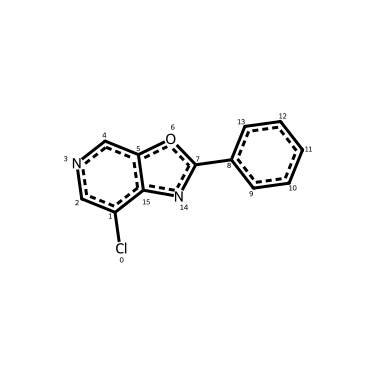 Clc1cncc2oc(-c3ccccc3)nc12